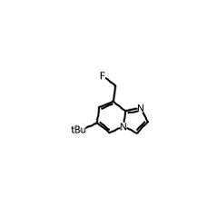 CC(C)(C)c1cc(CF)c2nccn2c1